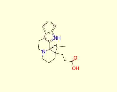 CCC1(CCC(=O)O)CCCN2CCc3c([nH]c4ccccc34)[C@@H]21